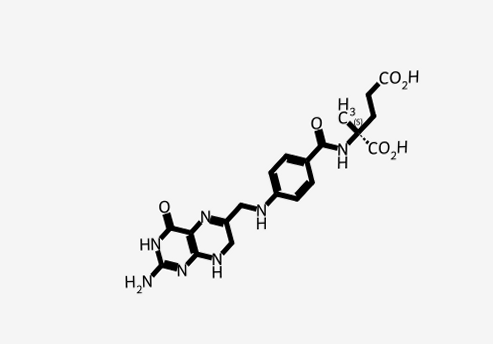 C[C@@](CCC(=O)O)(NC(=O)c1ccc(NCC2=Nc3c(nc(N)[nH]c3=O)NC2)cc1)C(=O)O